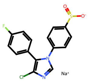 O=S([O-])c1ccc(-n2cnc(Cl)c2-c2ccc(F)cc2)cc1.[Na+]